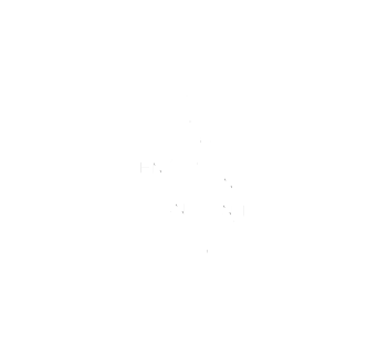 O=c1nc2c(n[nH]1)Oc1ccccc1N2